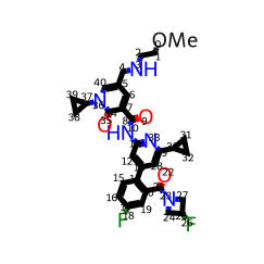 COCCNCc1cc(C(=O)Nc2cc(-c3ccc(F)cc3C(=O)N3CC(F)C3)cc(C3CC3)n2)c(=O)n(C2CC2)c1